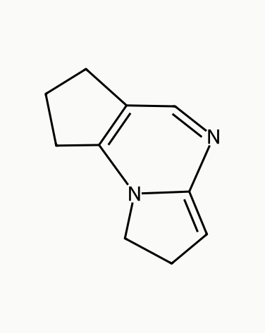 C1=NC2=CCCN2C2=C1CCC2